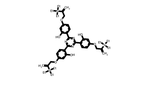 C=C(COc1ccc(-c2nc(-c3ccc(OCC(=C)[Si](CC)(CC)CC)cc3O)nc(-c3ccc(OCC(=C)[Si](CC)(CC)CC)cc3O)n2)c(O)c1)[Si](CC)(CC)CC